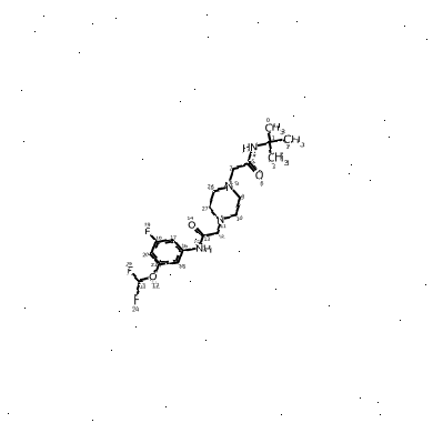 CC(C)(C)NC(=O)CN1CCN(CC(=O)Nc2cc(F)cc(OC(F)F)c2)CC1